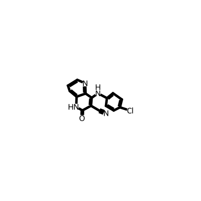 N#Cc1c(Nc2ccc(Cl)cc2)c2ncccc2[nH]c1=O